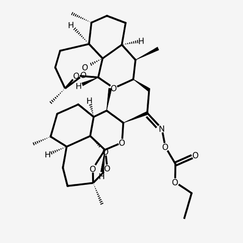 CCOC(=O)O/N=C(/C[C@H]1O[C@@H]2O[C@]3(C)CC[C@H]4[C@H](C)CC[C@@H]([C@H]1C)[C@@]24OO3)[C@H]1O[C@@H]2O[C@]3(C)CC[C@H]4[C@H](C)CC[C@@H]([C@H]1C)[C@@]24OO3